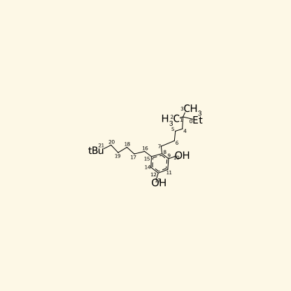 CCC(C)(C)CCCCc1c(O)cc(O)cc1CCCCCC(C)(C)C